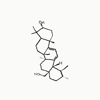 C[C@H]1[C@H](C)CC[C@]2(CO)CC[C@]3(C)C(=CC=C4[C@@]5(C)CC[C@H](O)C(C)(C)C5CC[C@]43C)[C@H]12